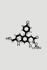 CCCCOOC(=O)Cc1c(C)cc2c(c1-c1ccc(Cl)cc1)C=CC(=CO)N2